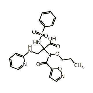 CCCON(C(=O)c1ccno1)C(CNc1ccccn1)(NS(=O)(=O)c1ccccc1)C(=O)O